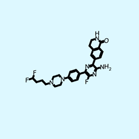 Nc1nc(F)c(-c2ccc(N3CCN(CCCC(F)F)CC3)cc2)nc1-c1ccc2c(c1)CCNC2=O